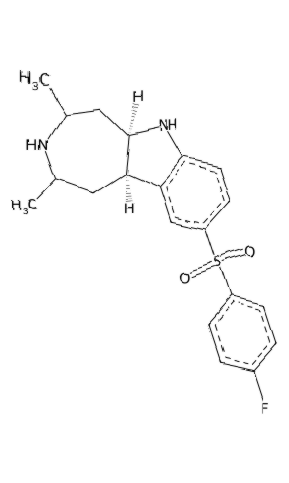 CC1C[C@@H]2c3cc(S(=O)(=O)c4ccc(F)cc4)ccc3N[C@@H]2CC(C)N1